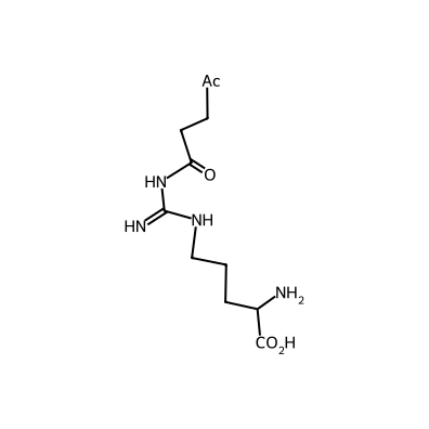 CC(=O)CCC(=O)NC(=N)NCCCC(N)C(=O)O